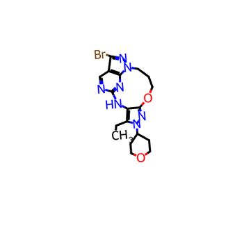 CCc1c2c(nn1C1CCOCC1)OCCCn1nc(Br)c3cnc(nc31)N2